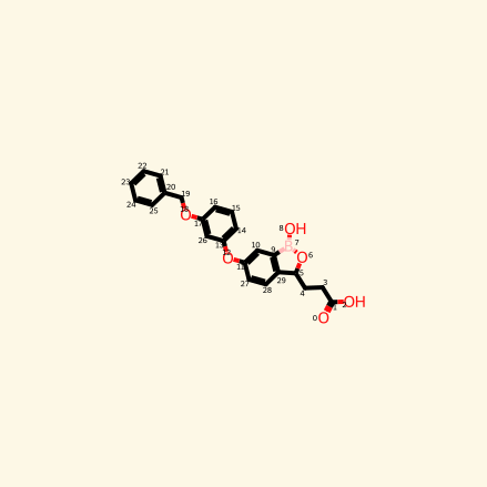 O=C(O)CCC1OB(O)c2cc(Oc3cccc(OCc4ccccc4)c3)ccc21